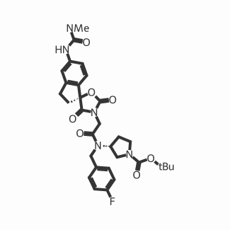 CNC(=O)Nc1ccc2c(c1)CC[C@@]21OC(=O)N(CC(=O)N(Cc2ccc(F)cc2)[C@@H]2CCN(C(=O)OC(C)(C)C)C2)C1=O